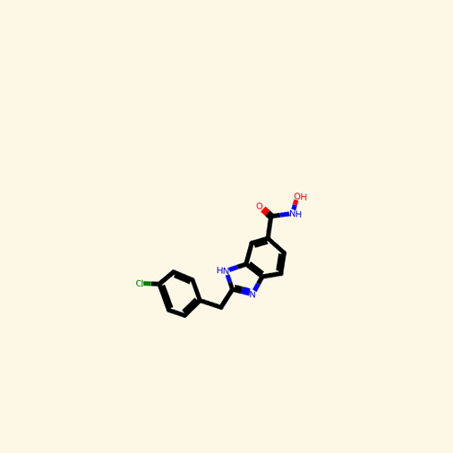 O=C(NO)c1ccc2nc(Cc3ccc(Cl)cc3)[nH]c2c1